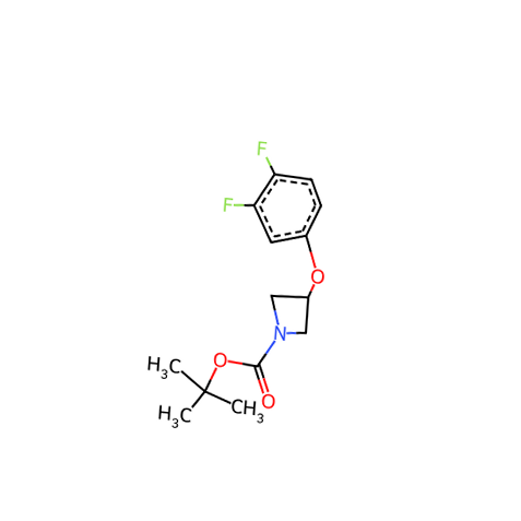 CC(C)(C)OC(=O)N1CC(Oc2ccc(F)c(F)c2)C1